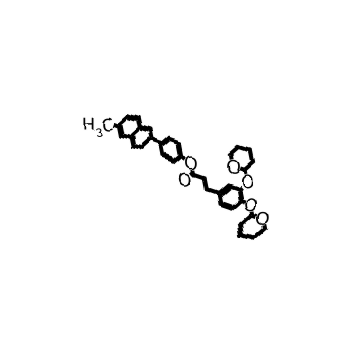 Cc1ccc2cc(-c3ccc(OC(=O)CCc4ccc(OC5CCCCO5)c(OC5CCCCO5)c4)cc3)ccc2c1